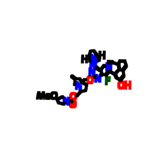 C#Cc1cccc2cc(O)cc(-c3ncc4c(N5C[C@H]6CC[C@@H](C5)N6)nc(OCC56CCC(COC(=O)N7CCC(OC)C7)N5CC(=C)C6)nc4c3F)c12